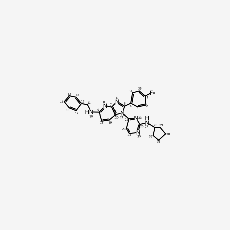 Fc1ccc(-c2nc3nc(NCc4ccccc4)ccc3n2-c2ccnc(NC3CCCC3)n2)cc1